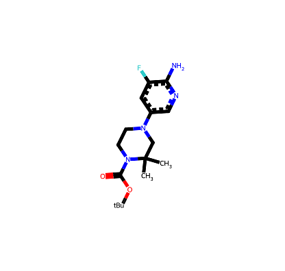 CC(C)(C)OC(=O)N1CCN(c2cnc(N)c(F)c2)CC1(C)C